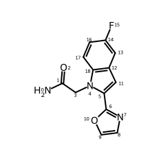 NC(=O)Cn1c(-c2ncco2)cc2cc(F)ccc21